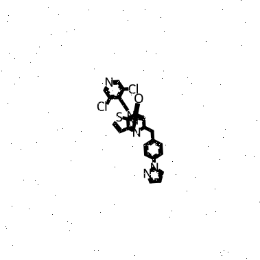 O=C1C2=CC(Cc3ccc(-n4cccn4)cc3)N=C3C=CSC23NN1c1c(Cl)cncc1Cl